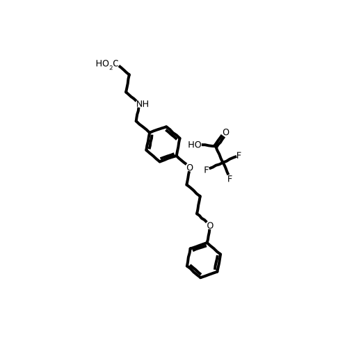 O=C(O)C(F)(F)F.O=C(O)CCNCc1ccc(OCCCOc2ccccc2)cc1